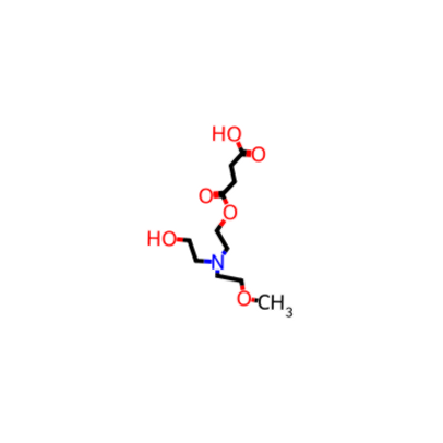 COCCN(CCO)CCOC(=O)CCC(=O)O